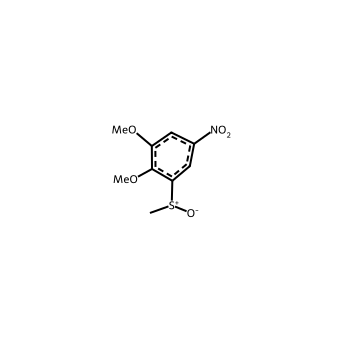 COc1cc([N+](=O)[O-])cc([S+](C)[O-])c1OC